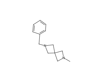 CN1CC2(C1)CN(Cc1ccccc1)C2